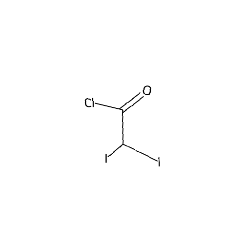 O=C(Cl)C(I)I